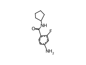 Nc1ccc(C(=O)NC2CCCC2)c(F)c1